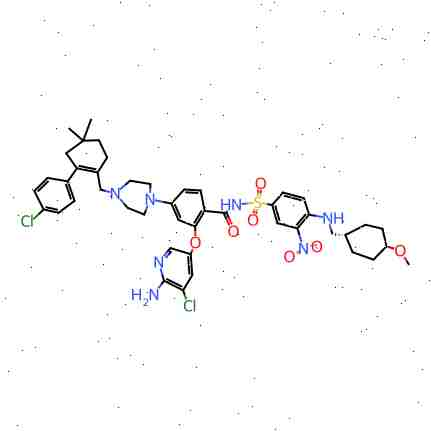 CO[C@H]1CC[C@H](CNc2ccc(S(=O)(=O)NC(=O)c3ccc(N4CCN(CC5=C(c6ccc(Cl)cc6)CC(C)(C)CC5)CC4)cc3Oc3cnc(N)c(Cl)c3)cc2[N+](=O)[O-])CC1